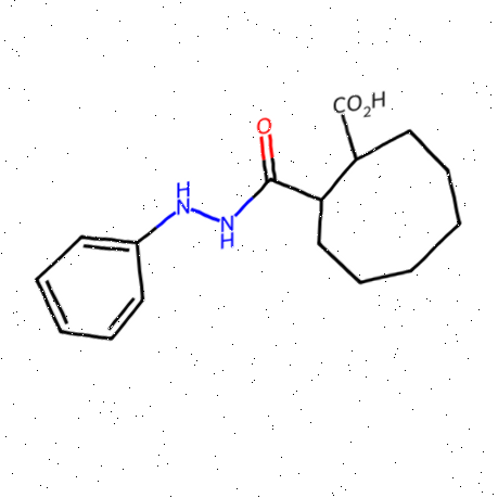 O=C(O)C1CCCCCCC1C(=O)NNc1ccccc1